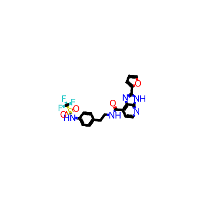 O=C(NCCc1ccc(NS(=O)(=O)C(F)(F)F)cc1)c1ccnc2[nH]c(-c3ccco3)nc12